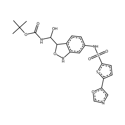 CC(C)(C)OC(=O)NC(O)C1OBc2cc(NS(=O)(=O)c3ccc(-c4cnco4)s3)ccc21